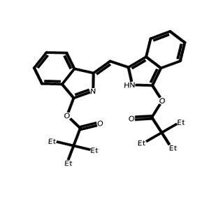 CCC(CC)(CC)C(=O)OC1=N/C(=C\c2[nH]c(OC(=O)C(CC)(CC)CC)c3ccccc23)c2ccccc21